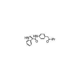 CC(C)C(=O)Cc1ccc(NC(=O)c2c[nH]c3ccccc23)cc1